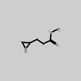 CCOC(=O)CCC1CN1